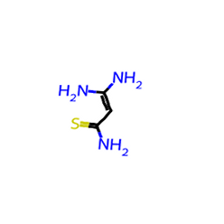 NC(=S)C=C(N)N